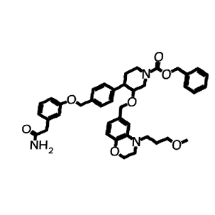 COCCCN1CCOc2ccc(COC3CN(C(=O)OCc4ccccc4)CCC3c3ccc(COc4cccc(CC(N)=O)c4)cc3)cc21